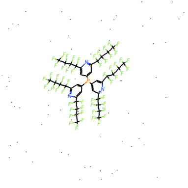 FC(F)(F)C(F)(F)C(F)(F)C(F)(F)c1cc(P(c2cc(C(F)(F)C(F)(F)C(F)(F)C(F)(F)F)nc(C(F)(F)C(F)(F)C(F)(F)C(F)(F)F)c2)c2cc(C(F)(F)C(F)(F)C(F)(F)C(F)(F)F)nc(C(F)(F)C(F)(F)C(F)(F)C(F)(F)F)c2)cc(C(F)(F)C(F)(F)C(F)(F)C(F)(F)F)n1